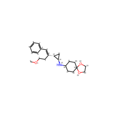 COCC/C(=C\c1ccccc1)[C@@H]1C[C@H]1NC1CCC2(CC1)OCCO2